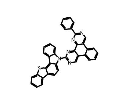 c1ccc(-c2ncc3c4ccccc4c4cnc(-n5c6ccccc6c6c7sc8ccccc8c7ccc65)nc4c3n2)cc1